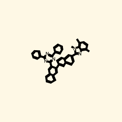 Cc1ccc(C)c2c1nc(-c1ccc3cc(-c4cc5ccccc5cc4-c4nc(-c5ccccc5)nc(-c5ccccc5)n4)ccc3c1)n2C